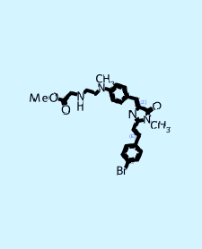 COC(=O)CNCCN(C)c1ccc(/C=C2N=C(/C=C/c3ccc(Br)cc3)N(C)C\2=O)cc1